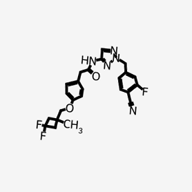 CC1(COc2ccc(CC(=O)Nc3cnn(Cc4ccc(C#N)c(F)c4)n3)cc2)CC(F)(F)C1